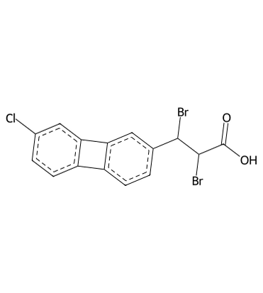 O=C(O)C(Br)C(Br)c1ccc2c(c1)-c1cc(Cl)ccc1-2